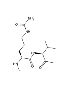 CN[C@@H](CCCNC(N)=O)C(=O)N[C@H](C(C)=O)C(C)C